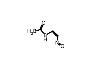 BC(=O)B/C=C\N=O